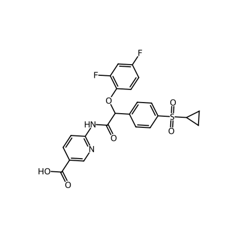 O=C(O)c1ccc(NC(=O)C(Oc2ccc(F)cc2F)c2ccc(S(=O)(=O)C3CC3)cc2)nc1